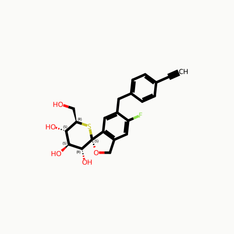 C#Cc1ccc(Cc2cc3c(cc2F)CO[C@]32S[C@H](CO)[C@@H](O)[C@H](O)[C@H]2O)cc1